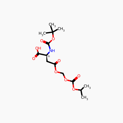 CC(C)OC(=O)OCOC(=O)C[C@H](NC(=O)OC(C)(C)C)C(=O)O